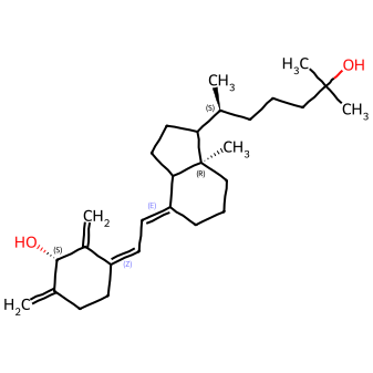 C=C1CC/C(=C/C=C2\CCC[C@@]3(C)C2CCC3[C@@H](C)CCCC(C)(C)O)C(=C)[C@H]1O